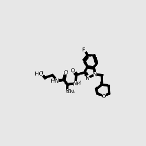 CC(C)(C)C(NC(=O)c1nn(CC2CCOCC2)c2ccc(F)cc12)C(=O)NCCO